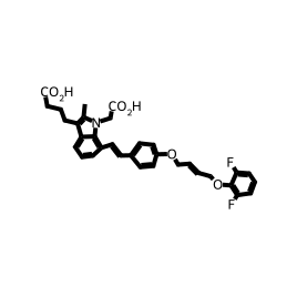 Cc1c(CCCC(=O)O)c2cccc(C=Cc3ccc(OCC=CCOc4c(F)cccc4F)cc3)c2n1CC(=O)O